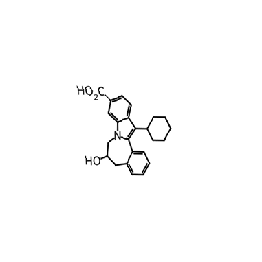 O=C(O)c1ccc2c(C3CCCCC3)c3n(c2c1)CC(O)Cc1ccccc1-3